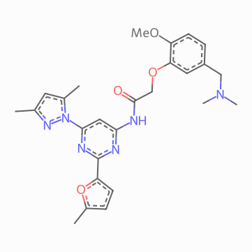 COc1ccc(CN(C)C)cc1OCC(=O)Nc1cc(-n2nc(C)cc2C)nc(-c2ccc(C)o2)n1